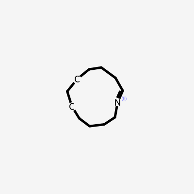 C1=N/CCCCCCCCCC/1